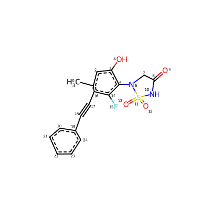 Cc1cc(O)c(N2CC(=O)NS2(=O)=O)c(F)c1C#Cc1ccccc1